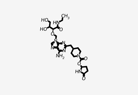 CCNC(=O)[C@@H](OCn1cnc2c(N)nc(CC3CCN(C(=O)OC4CCC(=O)N4)CC3)nc21)C(O)CO